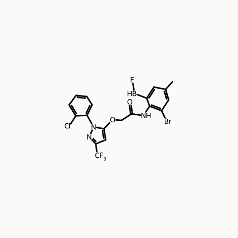 Cc1cc(Br)c(NC(=O)COc2cc(C(F)(F)F)nn2-c2ccccc2Cl)c(BF)c1